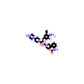 C#Cc1cc(C[C@@H](OC(=O)N2CCC3(CC2)OC(=O)Nc2ccccc23)C(=O)N2CCC(N3CCNCC3)CC2)cc(Cl)c1N